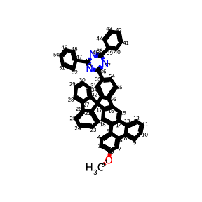 COc1ccc2c(c1)c1ccccc1c1cc3c(cc21)C1(c2ccccc2-c2ccccc21)c1cc(-c2nc(-c4ccccc4)nc(-c4ccccc4)n2)ccc1-3